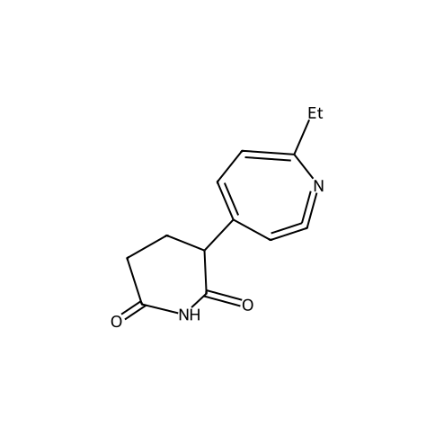 CCC1=CC=C(C2CCC(=O)NC2=O)C=C=N1